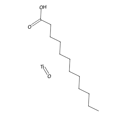 CCCCCCCCCCCC(=O)O.[O]=[Ti]